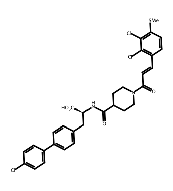 CSc1ccc(/C=C/C(=O)N2CCC(C(=O)N[C@@H](Cc3ccc(-c4ccc(Cl)cc4)cc3)C(=O)O)CC2)c(Cl)c1Cl